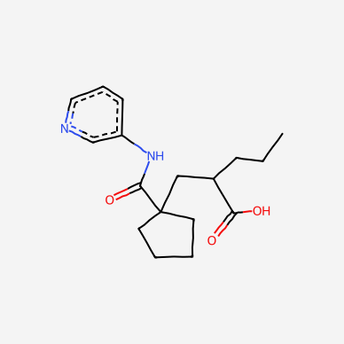 CCCC(CC1(C(=O)Nc2cccnc2)CCCC1)C(=O)O